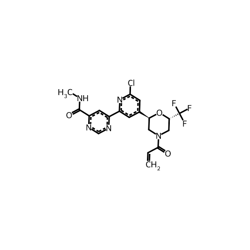 C=CC(=O)N1C[C@@H](c2cc(Cl)nc(-c3cc(C(=O)NC)ncn3)c2)O[C@H](C(F)(F)F)C1